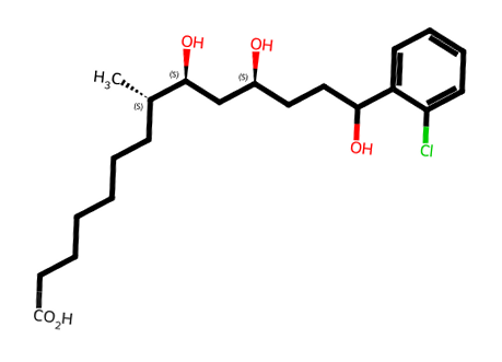 C[C@@H](CCCCCCC(=O)O)[C@@H](O)C[C@@H](O)CCC(O)c1ccccc1Cl